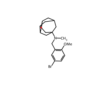 COc1ccc(Br)cc1CN(C)C12CCC3CC(CCC(C3)C1)C2